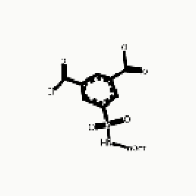 CCCCCCCCNS(=O)(=O)c1cc(C(=O)Cl)cc(C(=O)Cl)c1